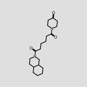 O=C1CCN(C(=O)CCCCC(=O)N2CCC3CCCCC3C2)CC1